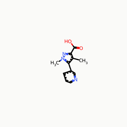 Cc1c(C(=O)O)nn(C)c1-c1cccnc1